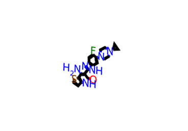 Nc1c(-c2nc3cc(F)c(N4CCN(C5CC5)CC4)cc3[nH]2)c(=O)[nH]c2ccsc12